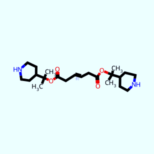 CC(C)(OC(=O)C/C=C/CC(=O)OC(C)(C)C1CCNCC1)C1CCNCC1